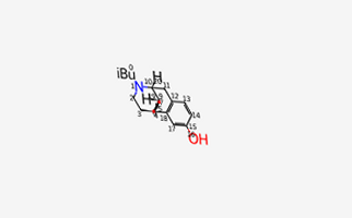 CC[C@@H](C)N1CC[C@]23CCCC[C@H]2[C@H]1Cc1ccc(O)cc13